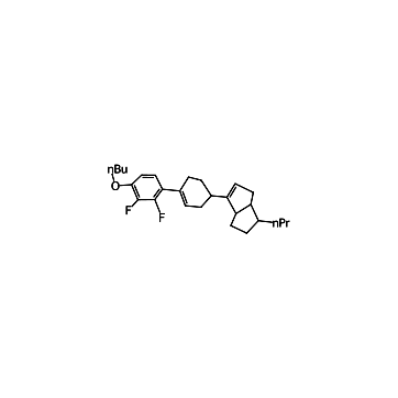 CCCCOc1ccc(C2=CCC(C3=CCC4C(CCC)CCC34)CC2)c(F)c1F